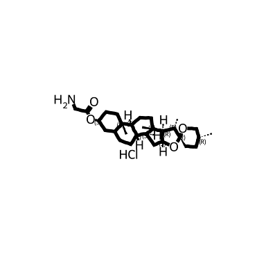 C[C@@H]1CC[C@@]2(OC1)O[C@H]1C[C@H]3[C@@H]4CCC5C[C@@H](OC(=O)CN)CC[C@]5(C)[C@H]4CC[C@]3(C)[C@H]1[C@@H]2C.Cl